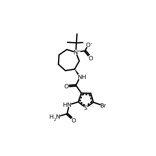 CC(C)(C)[N+]1(C(=O)[O-])CCCC[C@H](NC(=O)c2cc(Br)sc2NC(N)=O)C1